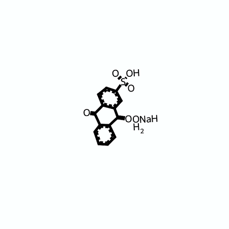 O.O=C1c2ccccc2C(=O)c2cc(S(=O)(=O)O)ccc21.[NaH]